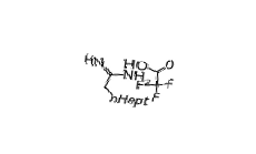 CCCCCCCCC(=N)N.O=C(O)C(F)(F)F